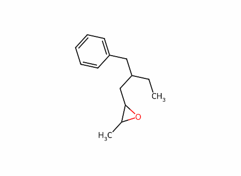 CCC(Cc1ccccc1)CC1OC1C